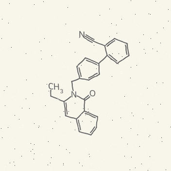 CCc1cc2ccccc2c(=O)n1Cc1ccc(-c2ccccc2C#N)cc1